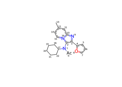 CC(=O)N(c1c(-c2ccco2)nc2cc(C)ccn12)C1CCCCC1